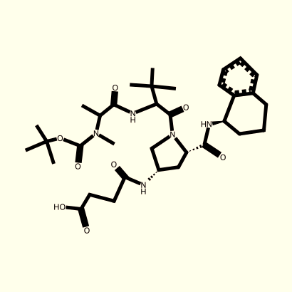 CC(C(=O)NC(C(=O)N1C[C@@H](NC(=O)CCC(=O)O)C[C@H]1C(=O)N[C@@H]1CCCc2ccccc21)C(C)(C)C)N(C)C(=O)OC(C)(C)C